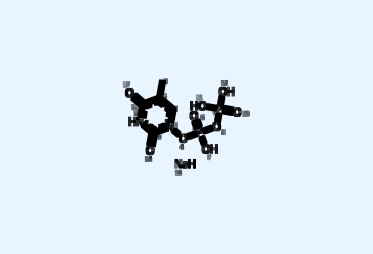 Cc1cn(OP(=O)(O)OP(=O)(O)O)c(=O)[nH]c1=O.[NaH]